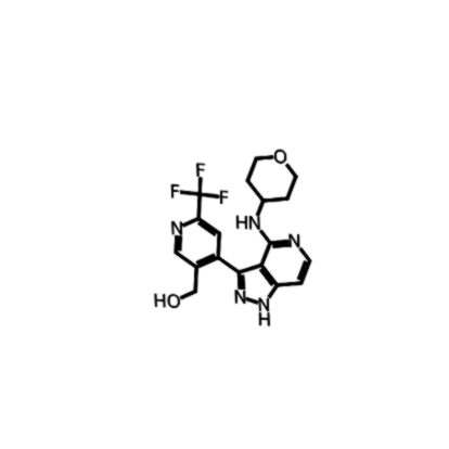 OCc1cnc(C(F)(F)F)cc1-c1n[nH]c2ccnc(NC3CCOCC3)c12